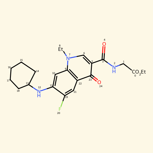 CCOC(=O)CNC(=O)c1cn(CC)c2cc(NC3CCCCC3)c(F)cc2c1=O